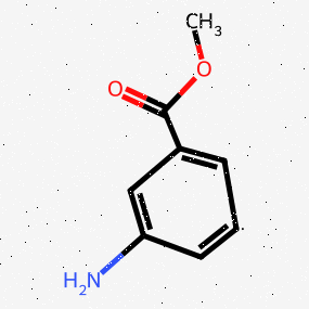 COC(=O)c1c[c]cc(N)c1